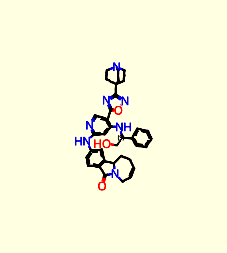 O=C1c2ccc(Nc3cc(N[C@H](CO)c4ccccc4)c(-c4nc(C56CCN(CC5)CC6)no4)cn3)cc2C2CCC=CCN12